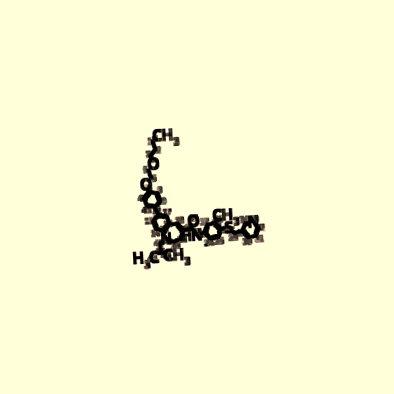 CCCCOCCOc1ccc(-c2ccc3c(c2)C=C(C(=O)Nc2ccc(SCc4cccnc4)c(C)c2)CCN3CC(C)C)cc1